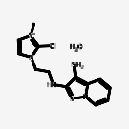 C[n+]1ccn(CCNc2nn3ccccc3c2N)c1Cl.O